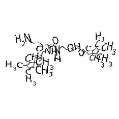 CC1=C(C)C(C)(CCOCCOCCNC(=O)[C@H](CCCCN)NC(=O)CCC2(C)C(C)=C(C)C(C)=C2C)C(C)=C1C